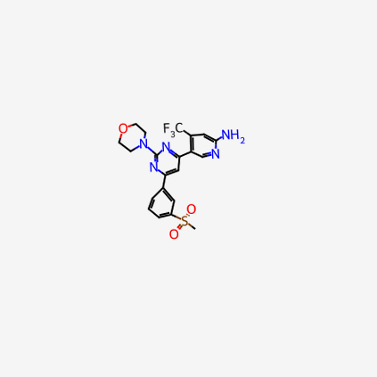 CS(=O)(=O)c1cccc(-c2cc(-c3cnc(N)cc3C(F)(F)F)nc(N3CCOCC3)n2)c1